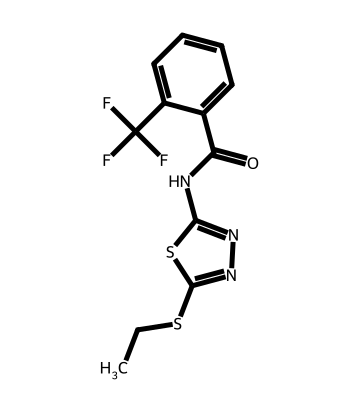 CCSc1nnc(NC(=O)c2ccccc2C(F)(F)F)s1